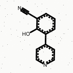 N#Cc1cccc(-c2ccncc2)c1O